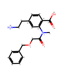 CN(C(=O)COCc1ccccc1)c1cc(CCN)ccc1C(=O)O